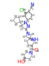 N#Cc1ccc(N2N=C(N3CC4(CCC(C(=O)N5CCC(O)CC5)CN4)C3)CC2C2CCCC2)cc1Cl